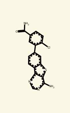 NC(=O)c1ccc(Cl)c(-c2ccc3c(c2)sc2c(N)ncnc23)c1